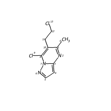 Cc1nc2ccnn2c(Cl)c1CCCl